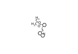 CC(C)OC(=O)c1ccccc1CSc1cccc2cccnc12